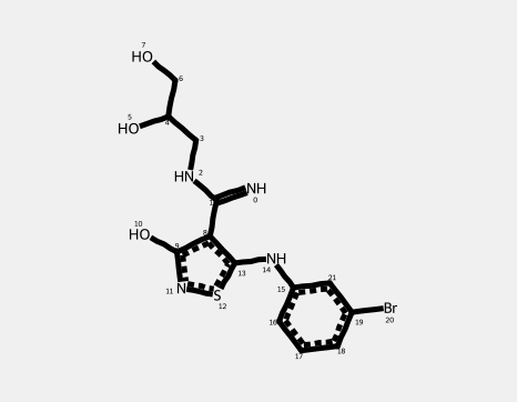 N=C(NCC(O)CO)c1c(O)nsc1Nc1cccc(Br)c1